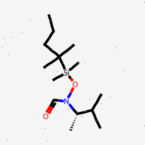 CCCC(C)(C)[Si](C)(C)ON(C=O)[C@@H](C)C(C)C